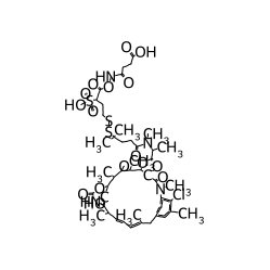 C/C1=C\C=C\C(C)C2(O)CC(OC(=O)N2)C(C)C2OC2(C)C(OC(=O)C(C)N(C)C(=O)CCC(C)(C)SSCCC(C(=O)ONC(=O)CCC(=O)O)S(=O)(=O)O)CC(=O)N(C)c2cc(cc(C)c2Cl)C1